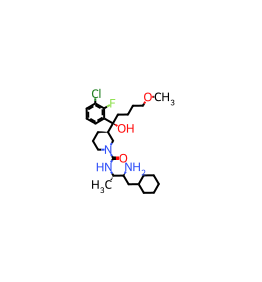 COCCCC[C@@](O)(c1cccc(Cl)c1F)[C@@H]1CCCN(C(=O)N[C@@H](C)[C@@H](N)CC2CCCCC2)C1